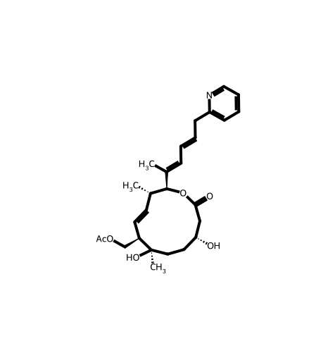 CC(=O)OC[C@H]1/C=C/[C@H](C)[C@@H](/C(C)=C/C=C/Cc2ccccn2)OC(=O)C[C@H](O)CC[C@@]1(C)O